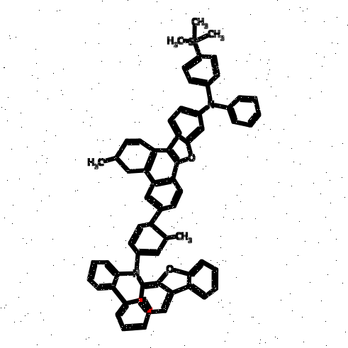 CC1C=Cc2c(c3cc(C4C=CC(N(c5ccccc5-c5ccccc5)c5cccc6c5oc5ccccc56)=CC4C)ccc3c3oc4cc(N(c5ccccc5)c5ccc([Si](C)(C)C)cc5)ccc4c23)C1